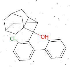 OC1(c2c(Cl)cccc2-c2ccccc2)C2CC3CC4CC2C1(C4)C3